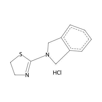 Cl.c1ccc2c(c1)CN(C1=NCCS1)C2